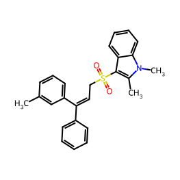 Cc1cccc(C(=CCS(=O)(=O)c2c(C)n(C)c3ccccc23)c2ccccc2)c1